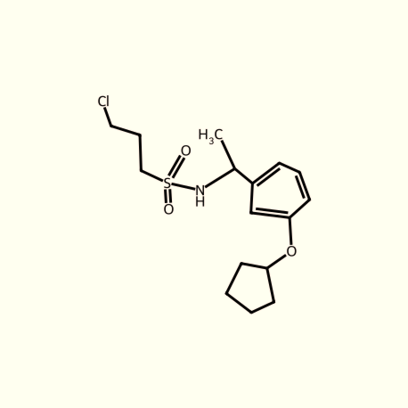 CC(NS(=O)(=O)CCCCl)c1cccc(OC2CCCC2)c1